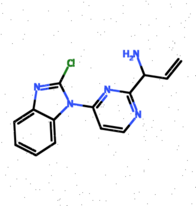 C=CC(N)c1nccc(-n2c(Cl)nc3ccccc32)n1